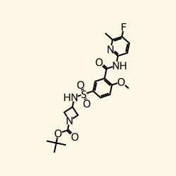 COc1ccc(S(=O)(=O)NC2CN(C(=O)OC(C)(C)C)C2)cc1C(=O)Nc1ccc(F)c(C)n1